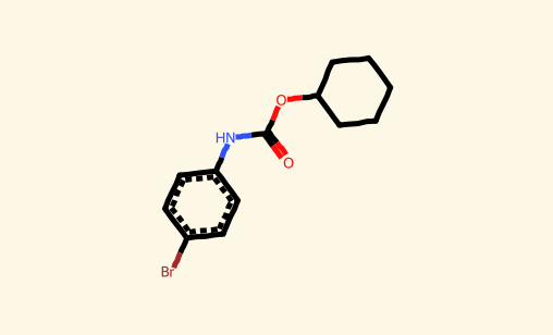 O=C(Nc1ccc(Br)cc1)OC1CCCCC1